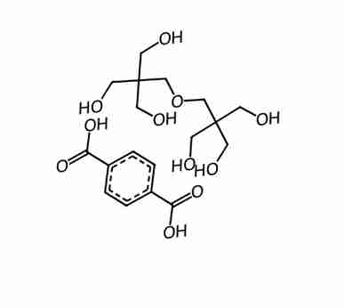 O=C(O)c1ccc(C(=O)O)cc1.OCC(CO)(CO)COCC(CO)(CO)CO